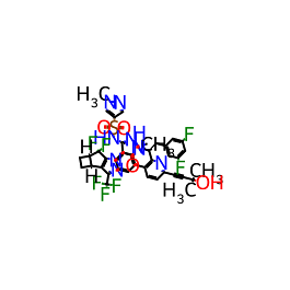 Cn1cc(S(=O)(=O)Nc2nn(C)c3c(-c4ccc(C#CC(C)(C)O)nc4[C@H](Cc4cc(F)cc(F)c4)NC(=O)Cn4nc(C(F)(F)F)c5c4C(F)(F)[C@@H]4CC[C@H]54)cccc23)cn1